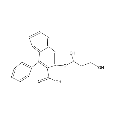 O=C(O)c1c(OC(O)CCO)cc2ccccc2c1-c1ccccc1